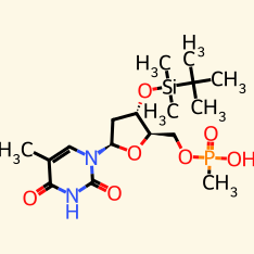 Cc1cn([C@H]2C[C@H](O[Si](C)(C)C(C)(C)C)[C@@H](COP(C)(=O)O)O2)c(=O)[nH]c1=O